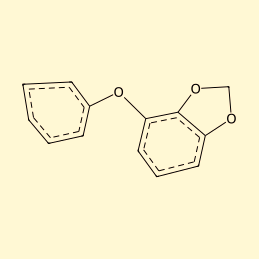 c1ccc(Oc2cccc3c2OCO3)cc1